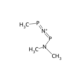 CP=[N+]=PN(C)C